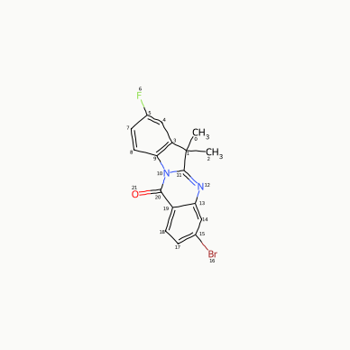 CC1(C)c2cc(F)ccc2-n2c1nc1cc(Br)ccc1c2=O